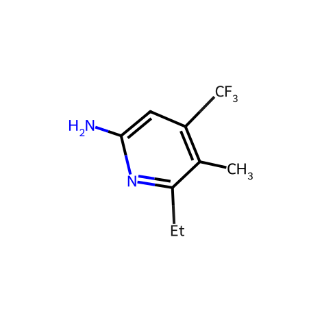 CCc1nc(N)cc(C(F)(F)F)c1C